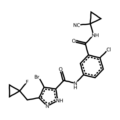 N#CC1(NC(=O)c2cc(NC(=O)c3[nH]nc(CC4(F)CC4)c3Br)ccc2Cl)CC1